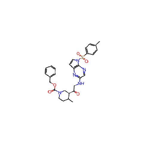 Cc1ccc(S(=O)(=O)n2ccc3nc(NCC(=O)C4CN(C(=O)OCc5ccccc5)CCC4C)cnc32)cc1